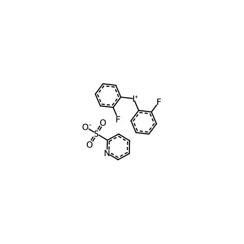 Fc1ccccc1[I+]c1ccccc1F.O=S(=O)([O-])c1ccccn1